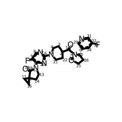 O=C(C1CCN(c2ncc(F)c(N3CCC4(CC4)C3=O)n2)CC1)N1OCC[C@H]1c1cncc(F)c1